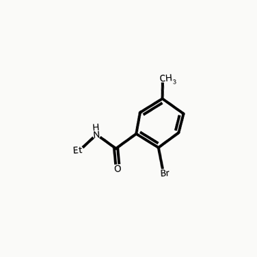 CCNC(=O)c1cc(C)ccc1Br